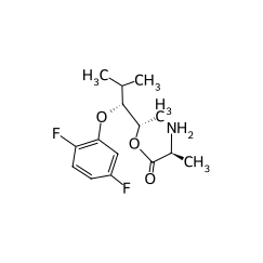 CC(C)[C@@H](Oc1cc(F)ccc1F)[C@H](C)OC(=O)[C@H](C)N